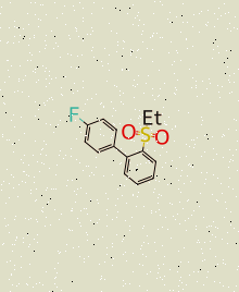 CCS(=O)(=O)c1ccccc1-c1ccc(F)cc1